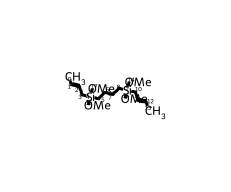 CC=CC[Si](CCCC[Si](CC=CC)(OC)OC)(OC)OC